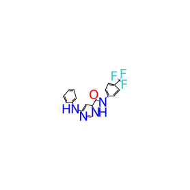 O=C(Nc1ccc(C(F)(F)F)cc1)c1cc(Nc2ccccc2)ncn1